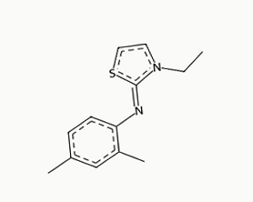 CCn1ccsc1=Nc1ccc(C)cc1C